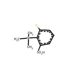 C[Si](C)(C)c1c(F)cccc1S(=O)(=O)O